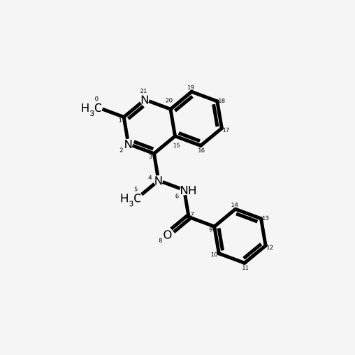 Cc1nc(N(C)NC(=O)c2ccccc2)c2ccccc2n1